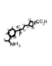 CC(N)c1cccc(C(F)(F)CCC2CN(C(=O)O)C2)c1